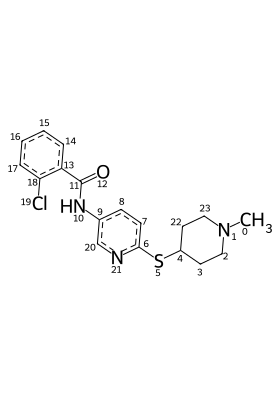 CN1CCC(Sc2ccc(NC(=O)c3ccccc3Cl)cn2)CC1